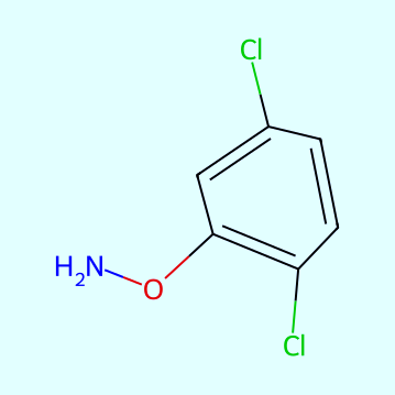 NOc1cc(Cl)ccc1Cl